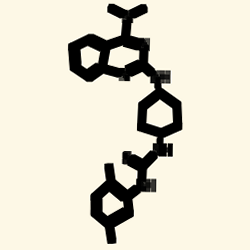 Cc1ccc(C)c(NC(=S)N[C@H]2CC[C@@H](Nc3nc(N(C)C)c4ccccc4n3)CC2)c1